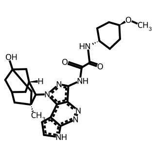 CO[C@H]1CC[C@H](NC(=O)C(=O)Nc2nn(C3[C@@H]4CC5CC(O)(C4)C[C@]3(C)C5)c3c2nnc2[nH]ccc23)CC1